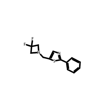 FC1(F)CN(Cc2cnc(-c3ccccc3)s2)C1